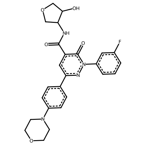 O=C(NC1COCC1O)c1cc(-c2ccc(N3CCOCC3)cc2)nn(-c2cccc(F)c2)c1=O